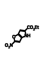 CCOC(=O)c1cc2oc([N+](=O)[O-])cc2[nH]1